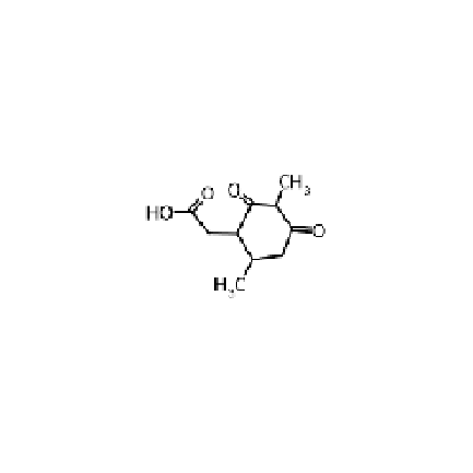 CC1C(=O)CC(C)C(CC(=O)O)C1=O